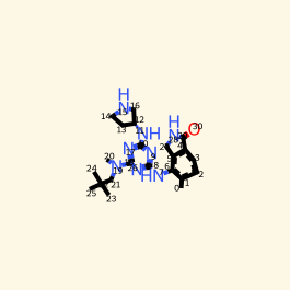 Cc1ccc2c(c1Nc1nc(N[C@H]3CCNC3)nc(N(C)CC(C)(C)C)n1)CNC2=O